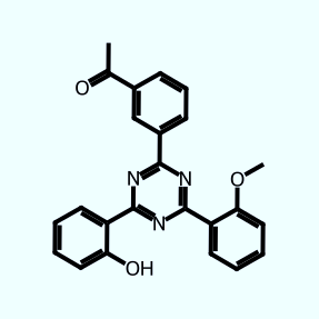 COc1ccccc1-c1nc(-c2cccc(C(C)=O)c2)nc(-c2ccccc2O)n1